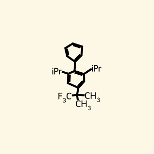 CC(C)c1cc(C(C)(C)C(F)(F)F)cc(C(C)C)c1-c1ccccc1